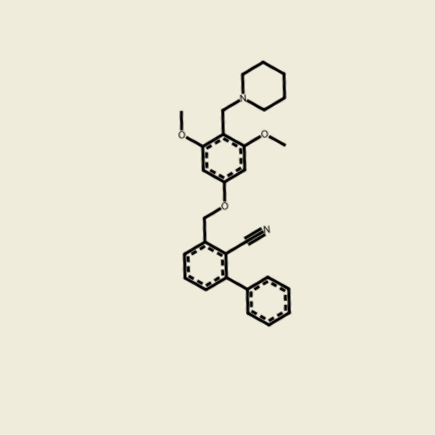 COc1cc(OCc2cccc(-c3ccccc3)c2C#N)cc(OC)c1CN1CCCCC1